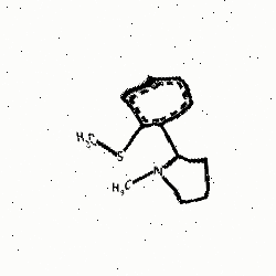 CSc1ccccc1C1CCCN1C